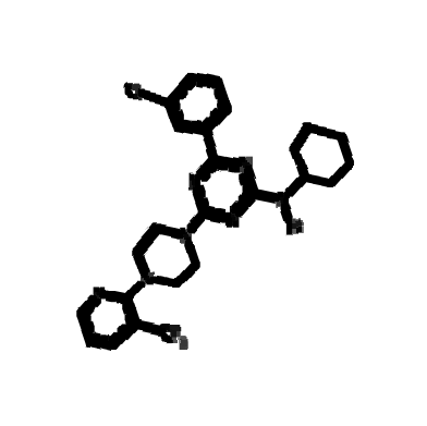 CCN(c1nc(-c2cccc(Cl)c2)nc(N2CCN(c3ncccc3C(F)(F)F)CC2)n1)C1CCCCC1